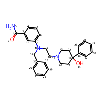 NC(=O)c1cccc(N(CCN2CCC(O)(c3ccccc3)CC2)Cc2ccccc2)c1